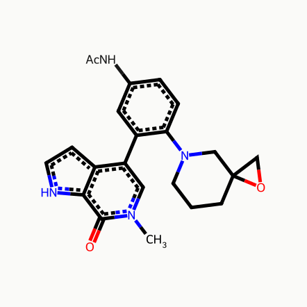 CC(=O)Nc1ccc(N2CCCC3(CO3)C2)c(-c2cn(C)c(=O)c3[nH]ccc23)c1